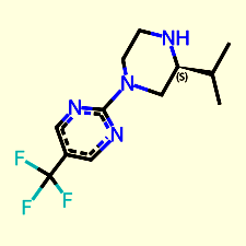 CC(C)[C@H]1CN(c2ncc(C(F)(F)F)cn2)CCN1